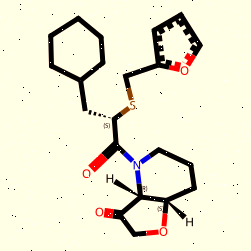 O=C1CO[C@H]2CCCN(C(=O)[C@H](CC3CCCCC3)SCc3ccco3)[C@@H]12